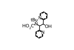 CC(C)(C)N(C(=O)O)C(c1ccccn1)C(O)c1ccccn1